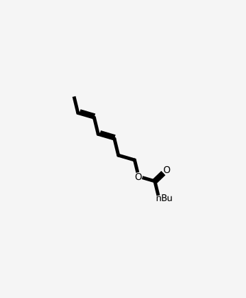 CC=CC=CCCOC(=O)CCCC